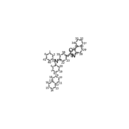 c1ccc(N(c2ccc(-c3ccc4ccccc4c3)cc2)c2ccc(-c3nc4ccc5ccccc5c4o3)cc2)cc1